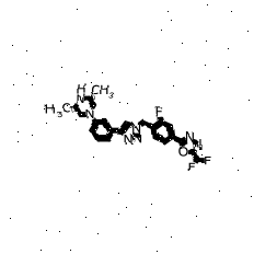 C[C@@H]1CN(c2cccc(-c3cn(Cc4ccc(-c5nnc(C(F)F)o5)cc4F)nn3)c2)C[C@H](C)N1